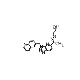 CC(=NOCCO)c1ccc2nnn(Cc3ccc4ncccc4c3)c2n1